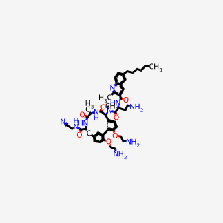 CCCCCCc1ccc2nc(C)c(C(=O)NC(CCN)C(=O)N(C)C3C(=O)NC(C)C(=O)NC(C(=O)NCC#N)Cc4ccc(OCCN)c(c4)-c4cc3ccc4OCCN)cc2c1